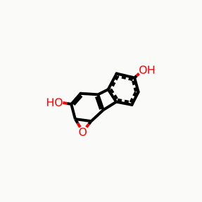 OC1=CC2=C(c3ccc(O)cc32)C2OC12